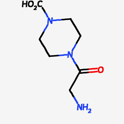 NCC(=O)N1CCN(C(=O)O)CC1